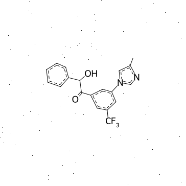 Cc1cn(-c2cc(C(=O)C(O)c3ccccc3)cc(C(F)(F)F)c2)cn1